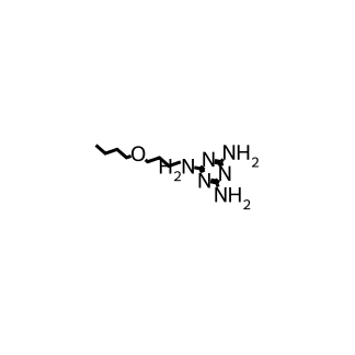 CCCCOCCCC.Nc1nc(N)nc(N)n1